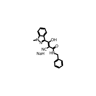 Cn1nc(/C(O)=C(\C#N)C(=O)NCc2ccccc2)c2ccccc21.[NaH]